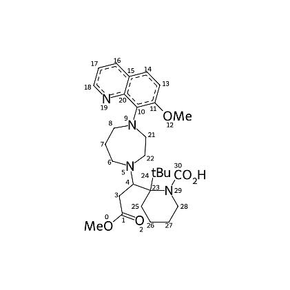 COC(=O)CC(N1CCCN(c2c(OC)ccc3cccnc23)CC1)C1(C(C)(C)C)CCCCN1C(=O)O